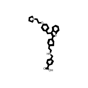 O=C(O)c1ccc(CNCCc2ccc(-c3sc4ccccc4c3Cc3ccc(OCCN4CCCC4)cc3)cc2)cc1